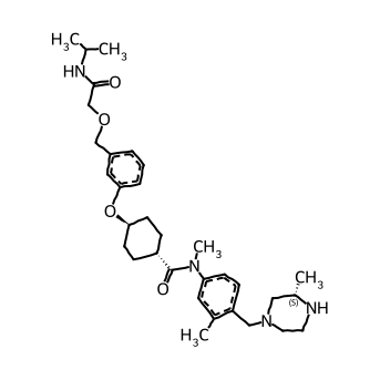 Cc1cc(N(C)C(=O)[C@H]2CC[C@H](Oc3cccc(COCC(=O)NC(C)C)c3)CC2)ccc1CN1CCN[C@@H](C)C1